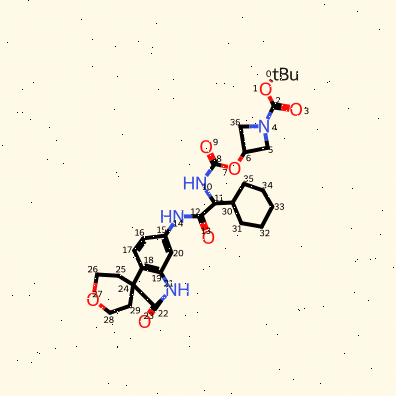 CC(C)(C)OC(=O)N1CC(OC(=O)NC(C(=O)Nc2ccc3c(c2)NC(=O)C32CCOCC2)C2CCCCC2)C1